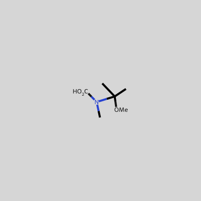 COC(C)(C)N(C)C(=O)O